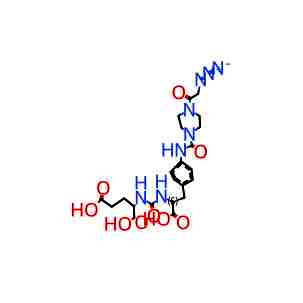 [N-]=[N+]=NCC(=O)N1CCN(C(=O)Nc2ccc(C[C@H](NC(=O)NC(CCC(=O)O)C(=O)O)C(=O)O)cc2)CC1